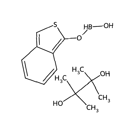 CC(C)(O)C(C)(C)O.OBOc1scc2ccccc12